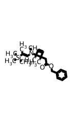 C/C(=C\N(C)C1(C)C#CC1(C)CC(=O)OCc1ccccc1)[Si](C)(C)C